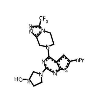 CCCc1cc2c(N3CCn4c(nnc4C(F)(F)F)C3)nc(N3CC[C@@H](O)C3)nc2s1